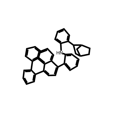 c1ccc(-c2ccccc2-c2ccc(-c3ccccc3Nc3ccccc3C3CC4CCC3C4)c3ccccc23)cc1